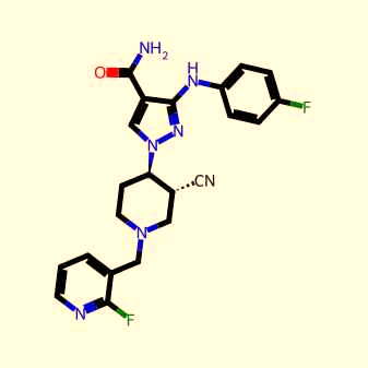 N#C[C@@H]1CN(Cc2cccnc2F)CC[C@H]1n1cc(C(N)=O)c(Nc2ccc(F)cc2)n1